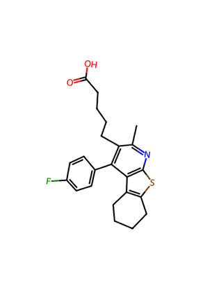 Cc1nc2sc3c(c2c(-c2ccc(F)cc2)c1CCCCC(=O)O)CCCC3